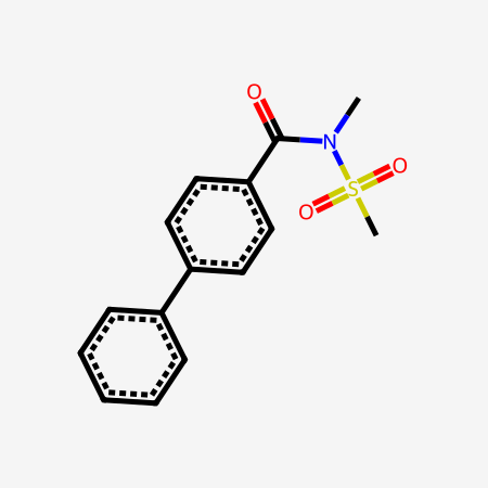 CN(C(=O)c1ccc(-c2ccccc2)cc1)S(C)(=O)=O